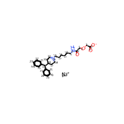 O=C([O-])COCC(=O)NCCCCCCN1CCC(C(c2ccccc2)c2ccccc2)CC1.[Na+]